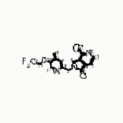 Cc1cc(CN2Cc3c(ccnc3Cl)C2=O)ncc1OCC(F)(F)F